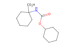 O=C(NC1(C(=O)O)CCCCC1)OC1CCCCC1